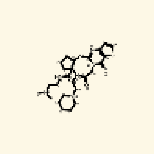 CN(C)CCNC(=O)C12CCCC1Sc1nc3ccsc3c(=O)n1CC(=O)N2CCN1CCCCC1